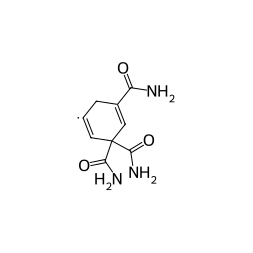 NC(=O)C1=CC(C(N)=O)(C(N)=O)C=[C]C1